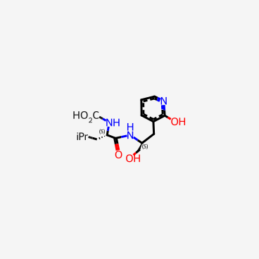 CC(C)C[C@H](NC(=O)O)C(=O)N[C@H](CO)Cc1cccnc1O